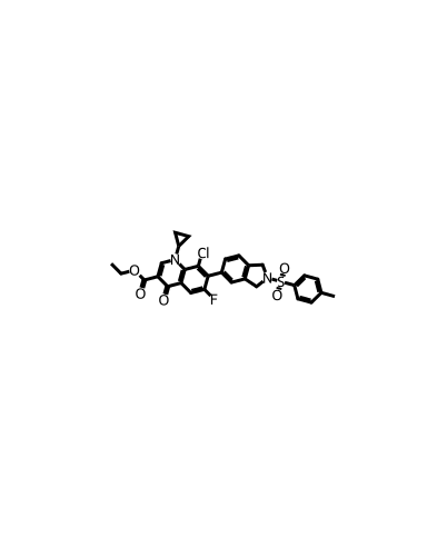 CCOC(=O)c1cn(C2CC2)c2c(Cl)c(-c3ccc4c(c3)CN(S(=O)(=O)c3ccc(C)cc3)C4)c(F)cc2c1=O